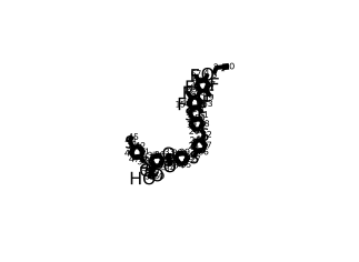 C#CCCOc1c(F)c(F)c(-c2c(F)c(F)c(Sc3ccc(Sc4ccc(Sc5ccc(S(=O)(=O)c6ccc(Sc7ccc(SC)cc7)c(S(=O)(=O)O)c6)cc5)cc4)cc3)c(F)c2F)c(F)c1F